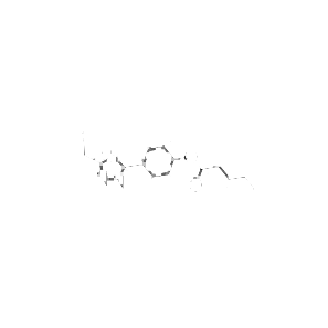 CCC=CC(=O)Oc1ccc(-c2nnc(CC)s2)cc1